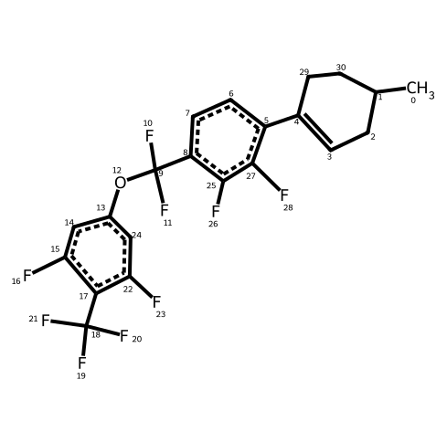 CC1CC=C(c2ccc(C(F)(F)Oc3cc(F)c(C(F)(F)F)c(F)c3)c(F)c2F)CC1